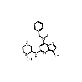 CC(C)c1cnn2c(N(I)Cc3ccccc3)cc(NC3CNCC[C@H]3O)nc12